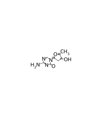 C[C@H]1O[C@@H](n2cnc(N)nc2=O)C[C@H]1O